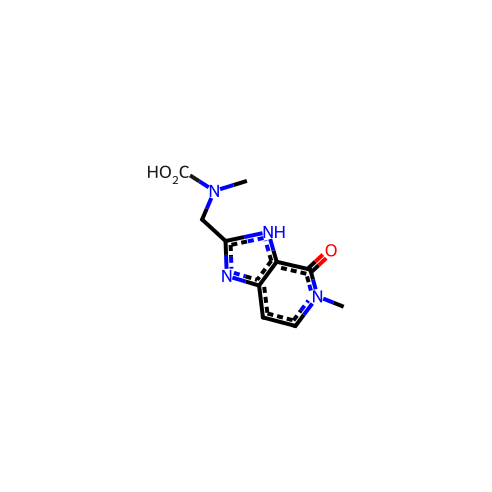 CN(Cc1nc2ccn(C)c(=O)c2[nH]1)C(=O)O